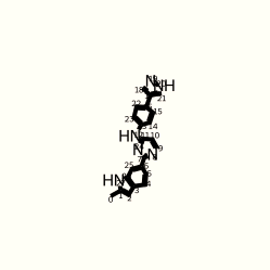 Cc1cc2ccc(-c3nccc(Nc4ccc(-c5cn[nH]c5)cc4)n3)cc2[nH]1